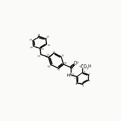 O=C(Nc1ccccc1C(=O)O)c1ccc(Cc2ccccc2)cc1